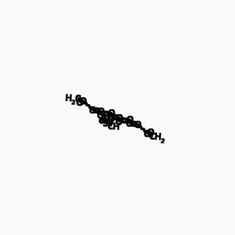 C#CN(/N=C/c1cc(OC(=O)[C@H]2CC[C@H](C(=O)Oc3ccc(OCCCCCCOC(=O)C=C)cc3)CC2)ccc1OC(=O)[C@H]1CC[C@H](C(=O)Oc2ccc(OCCCCCCOC(=O)C=C)cc2)CC1)c1nc2ccccc2s1